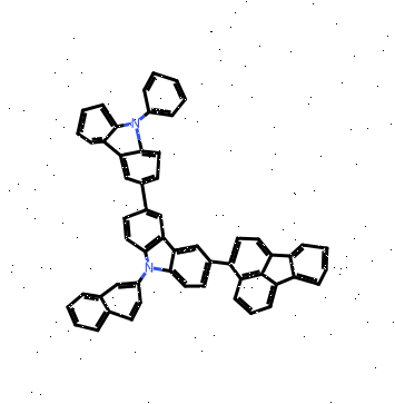 c1ccc(-n2c3ccccc3c3cc(-c4ccc5c(c4)c4cc(-c6ccc7c8c(cccc68)-c6ccccc6-7)ccc4n5-c4ccc5ccccc5c4)ccc32)cc1